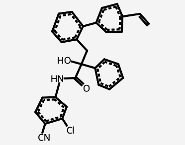 C=Cc1ccc(-c2ccccc2CC(O)(C(=O)Nc2ccc(C#N)c(Cl)c2)c2ccccc2)cc1